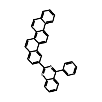 c1ccc(-c2nc(-c3ccc4ccc5c(ccc6c7ccccc7ccc65)c4c3)nc3ccccc23)cc1